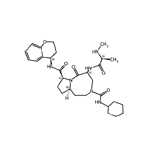 CN[C@@H](C)C(=O)N[C@H]1CN(C(=O)NC2CCCCC2)CC[C@H]2CC[C@@H](C(=O)N[C@@H]3CCOc4ccccc43)N2C1=O